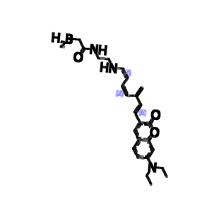 BCC(=O)NCCN/C=C\C=C/C(=C)/C=C/c1cc2ccc(N(CC)CC)cc2oc1=O